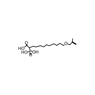 C=C(C)COCCCCCCCCCCC(C(=O)O)P(=O)(O)O